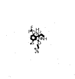 CSc1ccc(OC(F)F)c(C2(N)C=CNN2COCC[Si](C)(C)C)c1